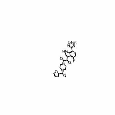 O=C(C(=O)N1CCN(C(=O)c2ccco2)CC1)c1c[nH]c2c(-c3nn[nH]n3)ccc(F)c12